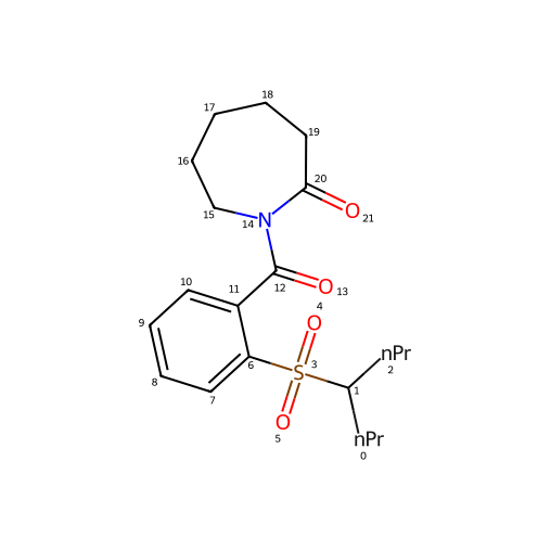 CCCC(CCC)S(=O)(=O)c1ccccc1C(=O)N1CCCCCC1=O